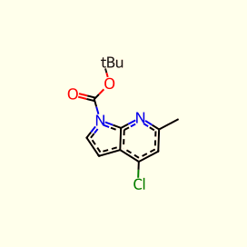 Cc1cc(Cl)c2ccn(C(=O)OC(C)(C)C)c2n1